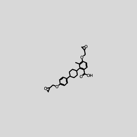 Cc1c(OCC2CO2)ccc(C(=O)O)c1C1CCC(c2ccc(OCC3CO3)cc2)CC1